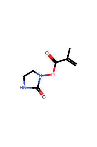 C=C(C)C(=O)ON1CCNC1=O